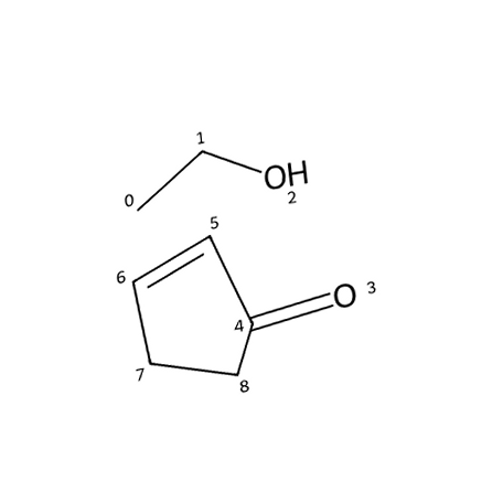 CCO.O=C1C=CCC1